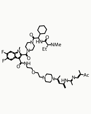 C=C(/C=C(\C)N1CCN(CCOCCNC(=O)c2c(C(=O)N3CCN(C(=O)C(NC(=O)[C@H](CC)NC)C4CCCCC4)CC3)n(C)c3cc(F)c(F)cc23)CC1)N/C(C)=N/C=C(\C)C(C)=O